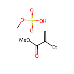 C=C(CC)C(=O)OC.COS(=O)(=O)O